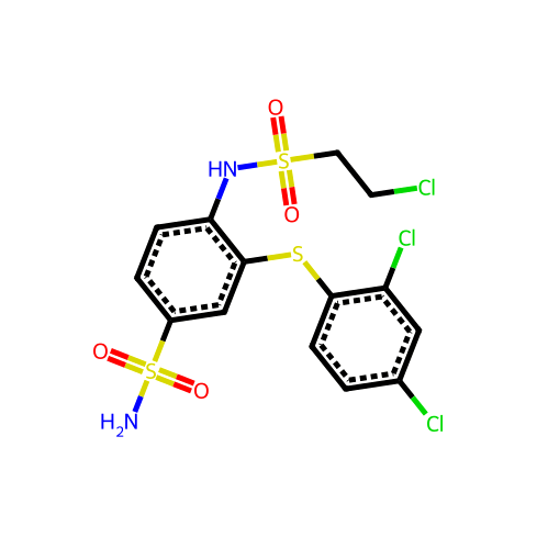 NS(=O)(=O)c1ccc(NS(=O)(=O)CCCl)c(Sc2ccc(Cl)cc2Cl)c1